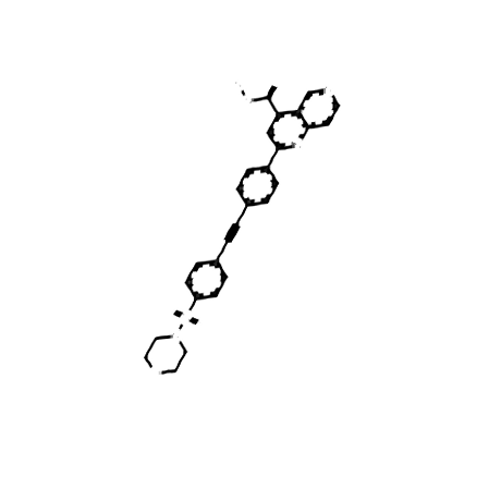 NNC(=O)c1cc(-c2ccc(C#Cc3ccc(S(=O)(=O)N4CCOCC4)cc3)cc2)nc2ccncc12